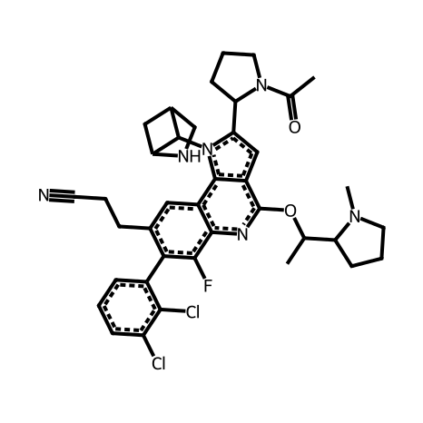 CC(=O)N1CCCC1c1cc2c(OC(C)C3CCCN3C)nc3c(F)c(-c4cccc(Cl)c4Cl)c(CCC#N)cc3c2n1C1C2CNC1C2